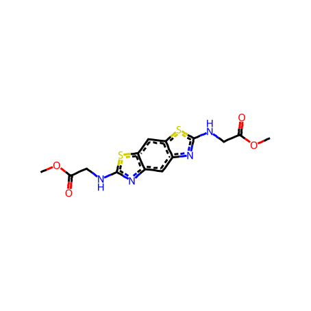 COC(=O)CNc1nc2cc3nc(NCC(=O)OC)sc3cc2s1